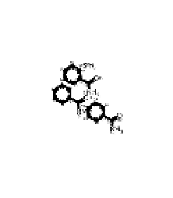 CNC(=O)c1ccccc1.NC(=O)c1ccccc1.NC(=O)c1ccccc1.[SiH4]